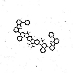 CC(C)C1(C(C)C)c2cc3c(cc2-c2cc4c(cc21)-c1c(cc(-c2cccc5c2oc2c(-c6ccccc6)cccc25)c2ccccc12)C4(C)C)C(C)(C)c1cc(-c2cccc4c2oc2c(-c5ccccc5)cccc24)c2ccccc2c1-3